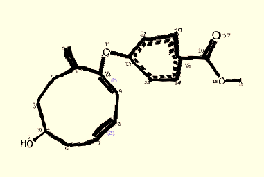 C=C1CC[C@H](O)C/C=C\C=C/1Oc1ccc(C(=O)OC)cc1